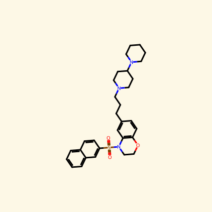 O=S(=O)(c1ccc2ccccc2c1)N1CCOc2ccc(CCCN3CCC(N4CCCCC4)CC3)cc21